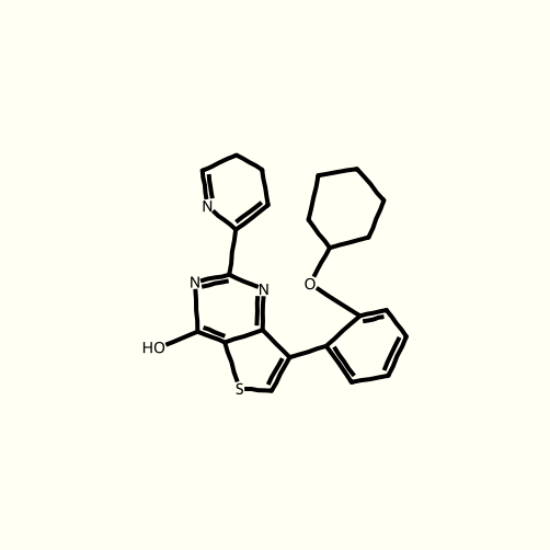 Oc1nc(C2=CCCC=N2)nc2c(-c3ccccc3OC3CCCCC3)csc12